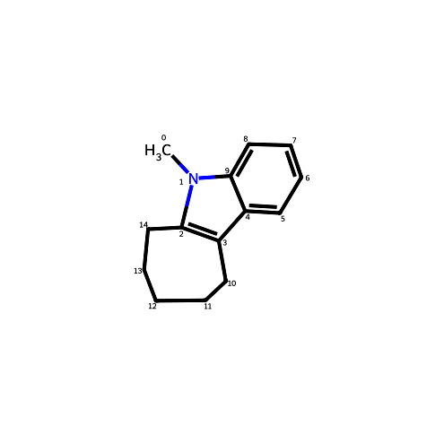 Cn1c2c(c3ccccc31)CCCCC2